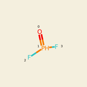 O=[PH](F)F